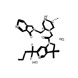 CCCC(F)(F)c1cc2c(cn1)C(C)(C)CN2C(=O)CN1C[C@@H](C)NC[C@@H]1CN1Cc2ccncc2C1=O.Cl.Cl